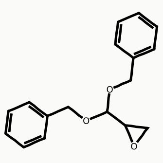 c1ccc(COC(OCc2ccccc2)C2CO2)cc1